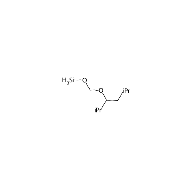 CC(C)CC(OCO[SiH3])C(C)C